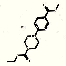 CCOC(=O)N1CCN(c2ccc(C(=O)OC)cc2)CC1.Cl